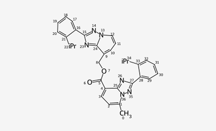 Cc1ccc(C(=O)OCc2cccn3nc(-c4ccccc4C(C)C)nc23)c2nc(-c3ccccc3C(C)C)nn12